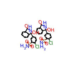 NS(=O)(=O)c1cc(C2(O)NC(=O)c3ccccc32)ccc1Cl.NS(=O)(=O)c1cc(C2(O)NC(=O)c3ccccc32)ccc1Cl